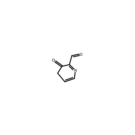 O=CC1=NC=CCC1=O